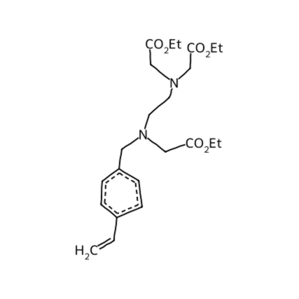 C=Cc1ccc(CN(CCN(CC(=O)OCC)CC(=O)OCC)CC(=O)OCC)cc1